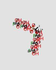 C=C(C)S(=O)(=O)O.O=[As](O)(O)F.O=[As](O)(O)F.O=[As](O)(O)F.O=[As](O)(O)F.O=[As]([O-])(O)F.[Li+]